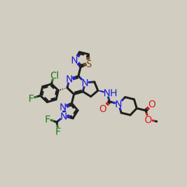 COC(=O)C1CCN(C(=O)N[C@H]2CC3=C(c4ccn(C(F)F)n4)[C@H](c4ccc(F)cc4Cl)N=C(c4nccs4)N3C2)CC1